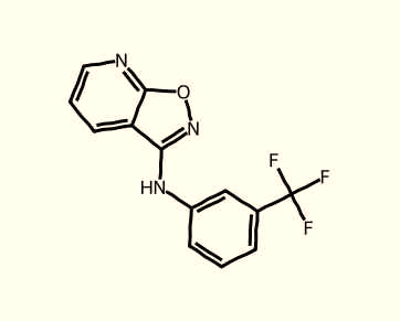 FC(F)(F)c1cccc(Nc2noc3ncccc23)c1